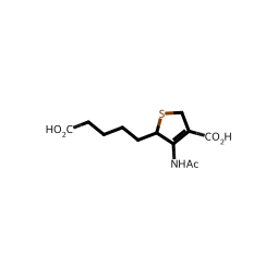 CC(=O)NC1=C(C(=O)O)CSC1CCCCC(=O)O